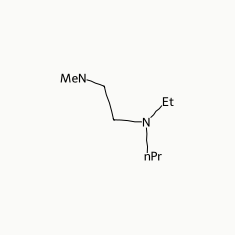 CCCN(CC)CCNC